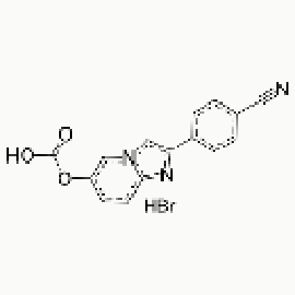 Br.N#Cc1ccc(-c2cn3cc(OC(=O)O)ccc3n2)cc1